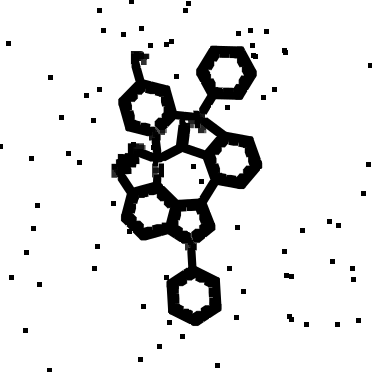 C=C1c2c3cccc2N(c2ccccc2)c2cc(C(C)C)cc[n+]2[PH]12c1c(ccc4c1c-3cn4-c1ccccc1)-n1ccc[n+]12